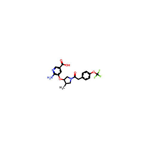 CC1CN(C(=O)Cc2ccc(OC(F)(F)F)cc2)CC1Oc1cc(C(=O)O)cnc1N